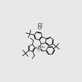 CCC1=[C](/[Zr+2](=[CH]/c2ccccc2)[CH]2c3cc(C(C)(C)C)ccc3-c3ccc(C(C)(C)C)cc32)C(CC)C=C1C(C)(C)C.[Cl-].[Cl-]